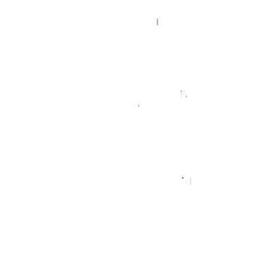 CC(C)(C)c1ccnc(-n2c3ccccc3c3cc4c(cc32)[nH]c2ccccc24)c1